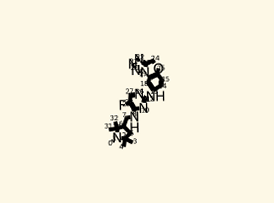 CN1C(C)(C)CC(CNc2nc(Nc3ccc4c(c3)-n3nnnc3CO4)ncc2F)C1(C)C